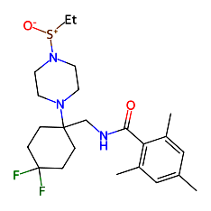 CC[S+]([O-])N1CCN(C2(CNC(=O)c3c(C)cc(C)cc3C)CCC(F)(F)CC2)CC1